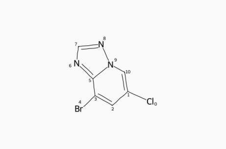 Clc1cc(Br)c2ncnn2c1